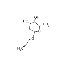 C=CCOC1C[C@H](O)[C@@H](O)[C@H](C)O1